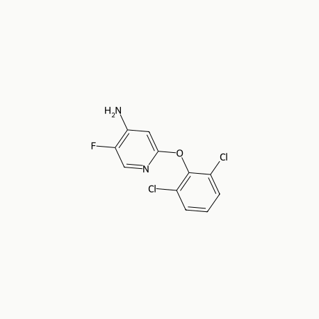 Nc1cc(Oc2c(Cl)cccc2Cl)ncc1F